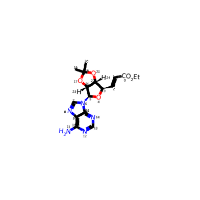 CCOC(=O)/C=C/[C@H]1O[C@@H](n2cnc3c(N)ncnc32)[C@@H]2OC(C)(C)O[C@@H]21